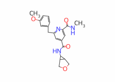 CNC(=O)c1cc(C(=O)NC2C3COCC32)cc(Cc2cccc(OC)c2)n1